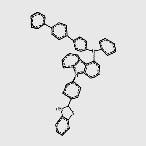 c1ccc(-c2ccc(-c3ccc(N(c4ccccc4)c4cccc5c4c4ccccc4n5-c4ccc(C5Nc6ccccc6S5)cc4)cc3)cc2)cc1